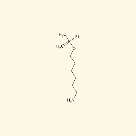 C=P(C)(CC)OCCCCCCN